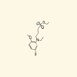 C#Cc1ccc(OC)c(N(CC)CCCS(=O)(=O)OCC)c1